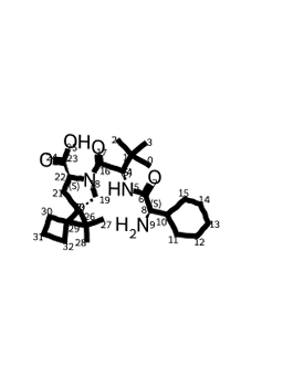 CC(C)(C)[C@H](NC(=O)[C@@H](N)C1CCCCC1)C(=O)N1C[C@]2(C[C@H]1C(=O)O)C(C)(C)C21CCC1